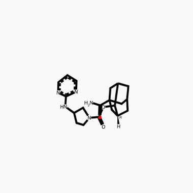 NC(=O)C12CC3CC(C1)C(OC(=O)N1CCC(Nc4ncccn4)C1)[C@H](C3)C2